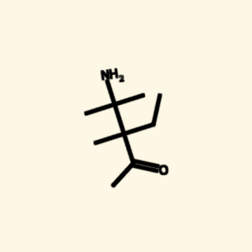 CCC(C)(C(C)=O)C(C)(C)N